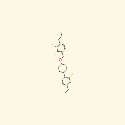 CCCc1ccc(COC2CCC(c3ccc(CC)cc3F)CC2)c(F)c1F